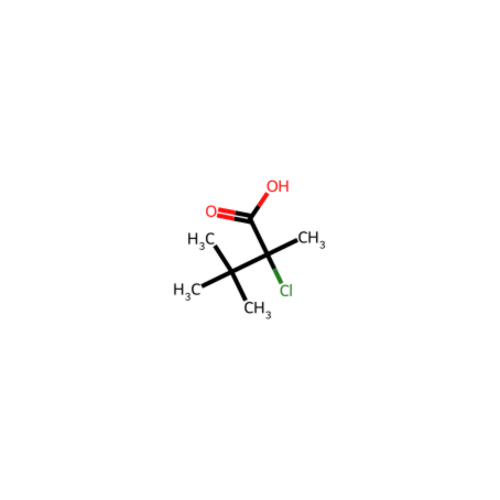 CC(C)(C)C(C)(Cl)C(=O)O